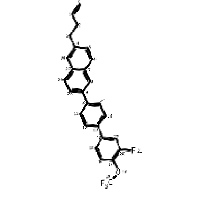 C=CCCc1ccc2cc(-c3ccc(-c4ccc(OC(F)(F)F)c(F)c4)cc3)ccc2c1